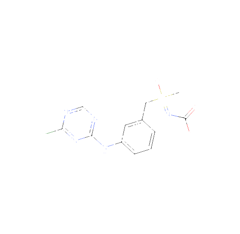 C[SH](O)(Cc1cccc(Nc2ncnc(Cl)n2)c1)=NC(=O)O